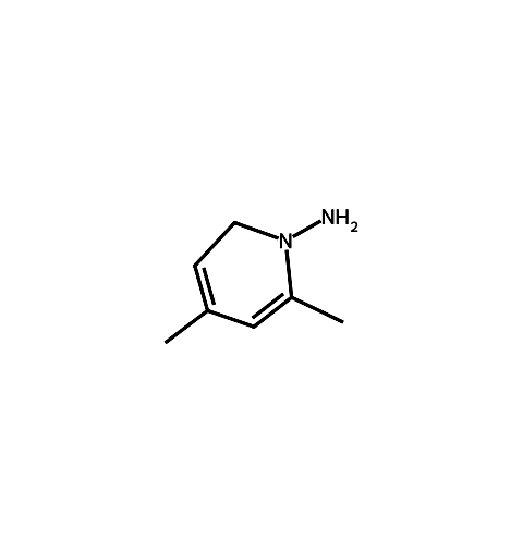 CC1=CCN(N)C(C)=C1